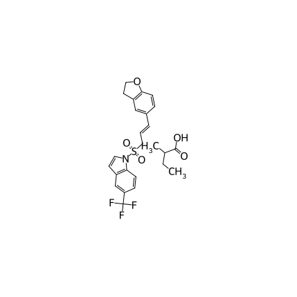 CCC(C)C(=O)O.O=S(=O)(CC=Cc1ccc2c(c1)CCO2)n1ccc2cc(C(F)(F)F)ccc21